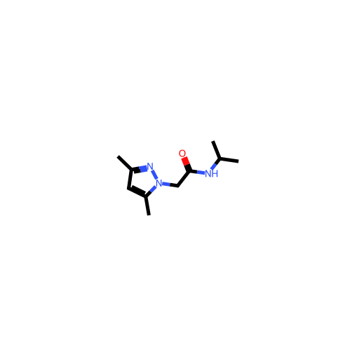 Cc1cc(C)n(CC(=O)NC(C)C)n1